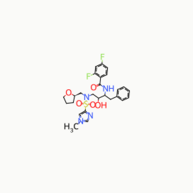 Cn1cnc(S(=O)(=O)N(CC(O)C(Cc2ccccc2)NC(=O)c2ccc(F)cc2F)C[C@H]2CCCO2)c1